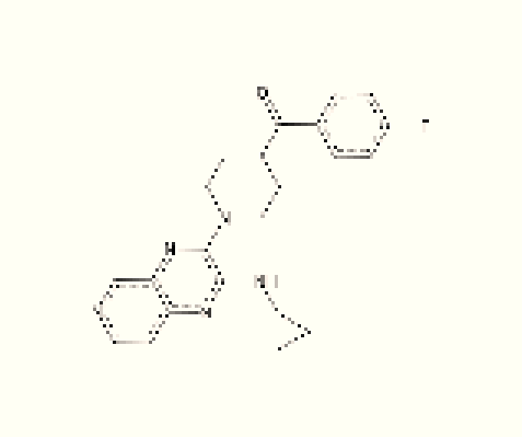 O=C(c1ccc(F)cc1)C1CCN(c2nc3cnccc3nc2NC2CC2)CC1